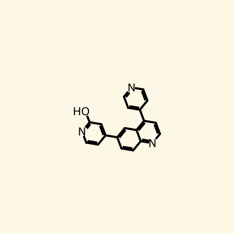 Oc1cc(-c2ccc3nccc(-c4ccncc4)c3c2)ccn1